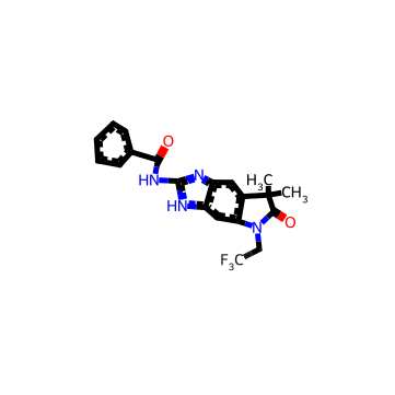 CC1(C)C(=O)N(CC(F)(F)F)c2cc3[nH]c(NC(=O)c4ccccc4)nc3cc21